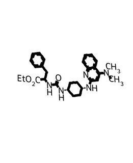 CCOC(=O)C(Cc1ccccc1)NC(=O)N[C@H]1CC[C@@H](Nc2cc(N(C)C)c3ccccc3n2)CC1